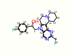 OC(Cn1c2c(c3nc(CF)ncc31)C1CCCCN1CC2)c1ccc(F)cc1